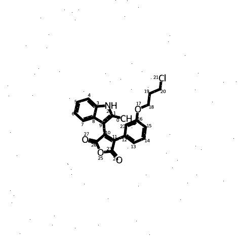 Cc1[nH]c2ccccc2c1C1=C(c2cccc(OCCCCl)c2)C(=O)OC1=O